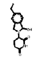 CCc1ccc2c(c1)CN(C1CCC(=O)NC1=O)C2O